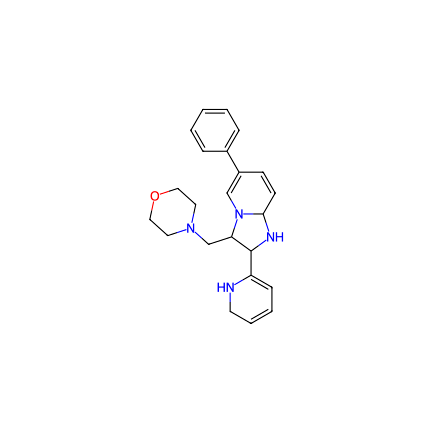 C1=CCNC(C2NC3C=CC(c4ccccc4)=CN3C2CN2CCOCC2)=C1